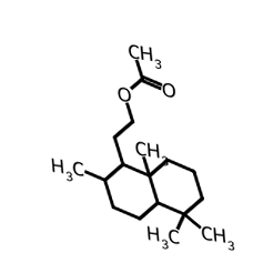 CC(=O)OCCC1C(C)CCC2C(C)(C)CCCC12C